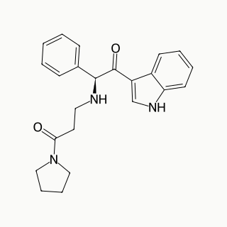 O=C(c1c[nH]c2ccccc12)[C@@H](NCCC(=O)N1CCCC1)c1ccccc1